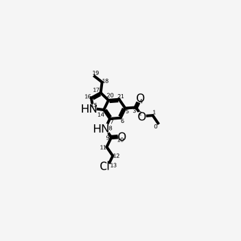 CCOC(=O)c1cc(NC(=O)CCCl)c2[nH]cc(CC)c2c1